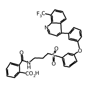 O=C(O)c1ccccc1C(=O)NCCCS(=O)(=O)c1cccc(Oc2cccc(-c3ccnc4c(C(F)(F)F)cccc34)c2)c1